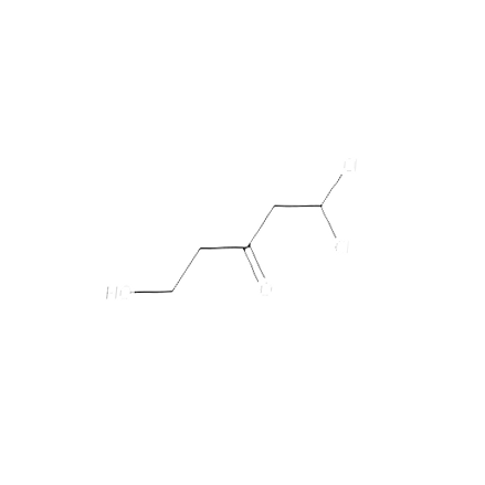 O=C(CCO)CC(Cl)Cl